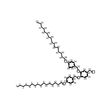 CCCCCCCCCCCCCCCCOc1ccc(COc2ccc(CCl)cc2OCc2ccc(OCCCCCCCCCCCCCCCC)cc2)cc1